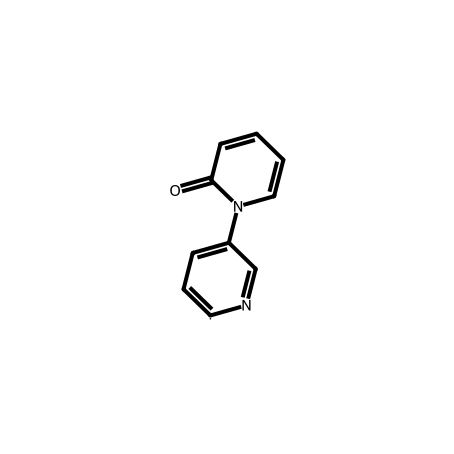 O=c1ccccn1-c1cc[c]nc1